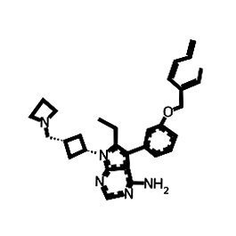 C=C/C=C\C(=C/C)COc1cccc(-c2c(CC)n([C@H]3C[C@@H](CN4CCC4)C3)c3ncnc(N)c23)c1